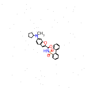 CN(c1ccc2cc(C(=O)NS(=O)(=O)c3ccccc3-c3ccccc3)oc2c1)C1CCCC1